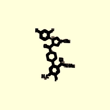 CC[C@H](NC(C)=O)c1cc(F)c(C)cc1C1CCN(C(=O)C2CN(C(C)(C)C)C[C@H]2c2ccc(F)cc2F)CC1